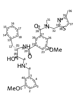 COc1cccc(CNC[C@@H](O)[C@H](Cc2ccccc2)NC(=O)c2cc(OC)cc(C(=O)N(C)Cc3nc(C)cs3)c2)c1